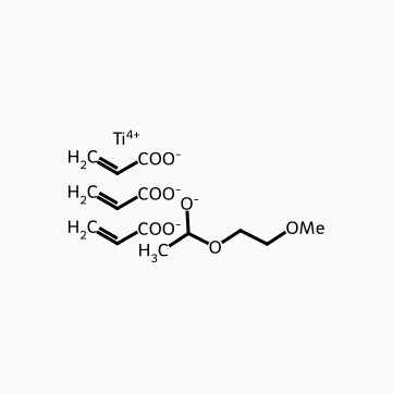 C=CC(=O)[O-].C=CC(=O)[O-].C=CC(=O)[O-].COCCOC(C)[O-].[Ti+4]